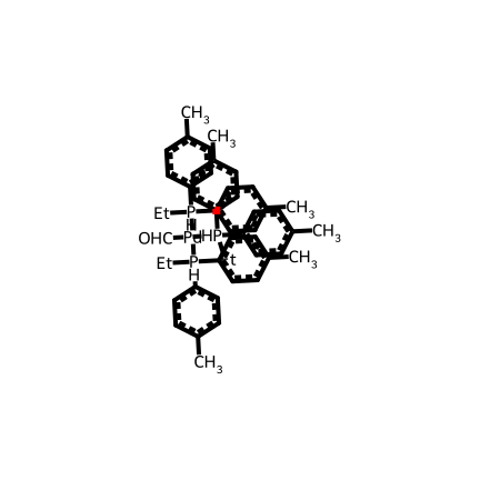 CC[PH](c1ccc(C)cc1)(c1ccc(C)cc1)[Pd]([CH]=O)([PH](CC)(c1ccc(C)cc1)c1ccc(C)cc1)[PH](CC)(c1ccc(C)cc1)c1ccc(C)cc1